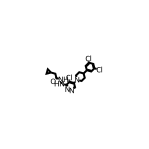 O=C(CC1CC1)NNc1nncc(N2CCC(c3cc(Cl)cc(Cl)c3)CC2)c1Cl